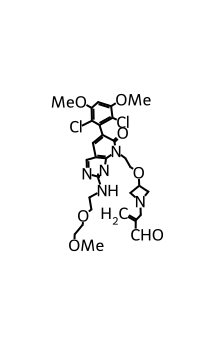 C=C(C=O)CN1CC(OCCn2c(=O)c(-c3c(Cl)c(OC)cc(OC)c3Cl)cc3cnc(NCCOCCOC)nc32)C1